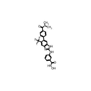 CN(C)C(=O)c1ccc(-c2cc3[nH]c(Nc4cccc(C(=O)NO)c4)nc3cc2C(F)(F)F)cc1